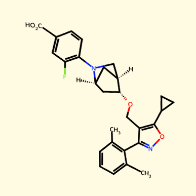 Cc1cccc(C)c1-c1noc(C2CC2)c1CO[C@@H]1C[C@@H]2C[C@H]1CN2c1ccc(C(=O)O)cc1F